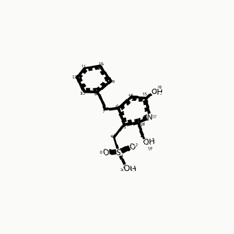 O=S(=O)(O)Cc1c(Cc2ccccc2)cc(O)nc1O